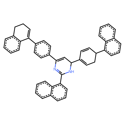 C1=CC(c2cccc3ccccc23)CC=C1C1C=C(c2ccc(C3=CCCc4ccccc43)cc2)N=C(c2cccc3ccccc23)N1